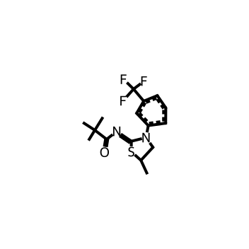 CC1CN(c2cccc(C(F)(F)F)c2)C(=NC(=O)C(C)(C)C)S1